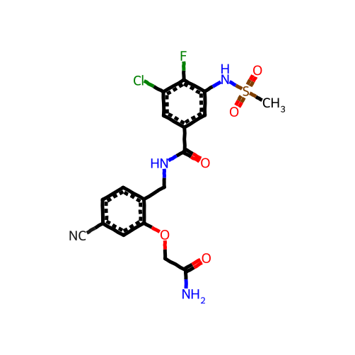 CS(=O)(=O)Nc1cc(C(=O)NCc2ccc(C#N)cc2OCC(N)=O)cc(Cl)c1F